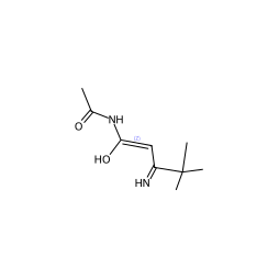 CC(=O)N/C(O)=C/C(=N)C(C)(C)C